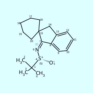 CC(C)(C)[S@@+]([O-])/N=C1\c2ccccc2CC12CCCCC2